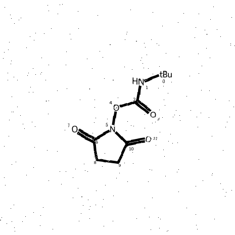 CC(C)(C)NC(=O)ON1C(=O)CCC1=O